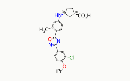 Cc1cc(N[C@H]2CC[C@@H](C(=O)O)C2)ccc1-c1nc(-c2ccc(OC(C)C)c(Cl)c2)no1